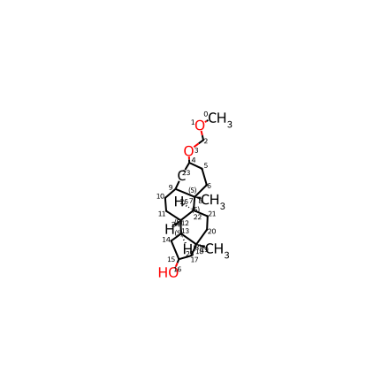 COCOC1CC[C@@]2(C)C(CC[C@H]3[C@@H]4CC(O)C[C@@]4(C)CC[C@@H]32)C1